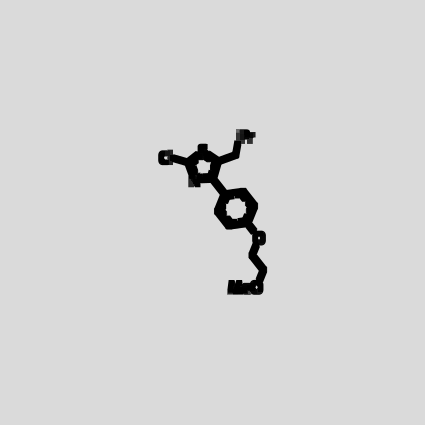 COCCOc1ccc(-c2nc(Cl)sc2CC(C)C)cc1